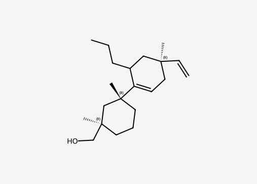 C=C[C@@]1(C)CC=C([C@]2(C)CCC[C@@](C)(CO)C2)C(CCC)C1